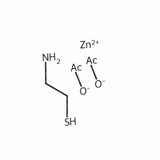 CC(=O)[O-].CC(=O)[O-].NCCS.[Zn+2]